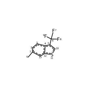 Cc1ccc2c(C(F)(F)F)csc2c1